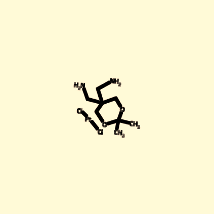 CC1(C)OCC(CN)(CN)CO1.[Cl][Pt][Cl]